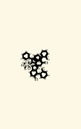 CCc1ccc2c(c1-c1ccccc1C)C=C(c1ccccc1)[CH]2[Zr]([Cl])([Cl])([CH]1C(c2ccccc2)=Cc2c1ccc(CC)c2-c1ccccc1C)[SiH](C)C